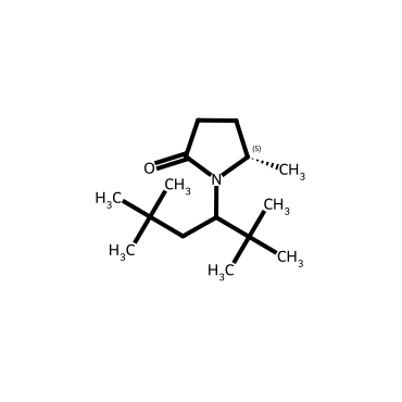 C[C@H]1CCC(=O)N1C(CC(C)(C)C)C(C)(C)C